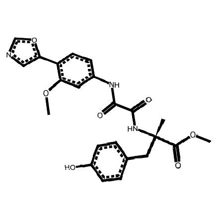 COC(=O)[C@](C)(Cc1ccc(O)cc1)NC(=O)C(=O)Nc1ccc(-c2cnco2)c(OC)c1